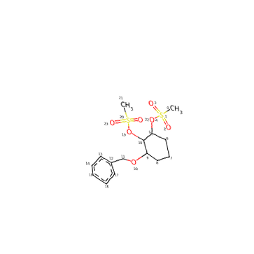 CS(=O)(=O)O[C]1CCCC(OCc2ccccc2)C1OS(C)(=O)=O